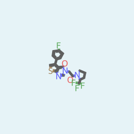 O=C(Cn1cnc2scc(-c3ccc(F)cc3)c2c1=O)N1CCCC1C(F)(F)F